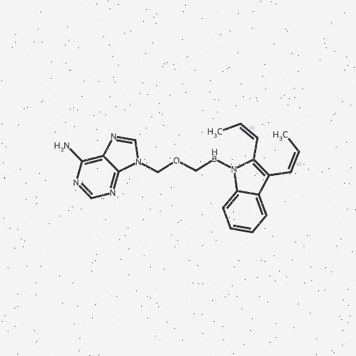 C/C=C\c1c(/C=C\C)n(BCOCn2cnc3c(N)ncnc32)c2ccccc12